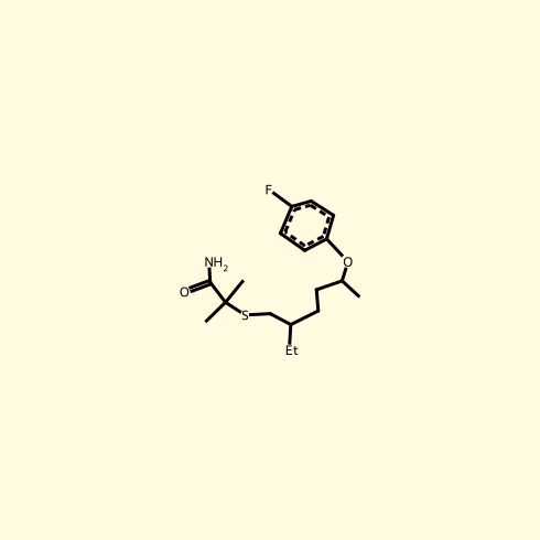 CCC(CCC(C)Oc1ccc(F)cc1)CSC(C)(C)C(N)=O